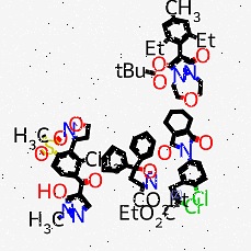 CCOC(=O)/C(Cl)=C/c1cc(N2C(=O)C3=C(CCCC3)C2=O)ccc1Cl.CCOC(=O)C1=NOC(c2ccccc2)(c2ccccc2)C1.CCc1cc(C)cc(CC)c1-c1c(OC(=O)C(C)(C)C)n2n(c1=O)CCOCC2.Cc1c(C(=O)c2cnn(C)c2O)ccc(S(C)(=O)=O)c1C1=NOCC1